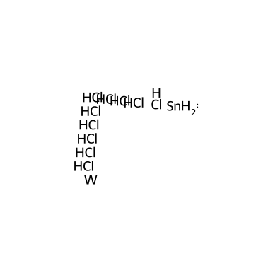 Cl.Cl.Cl.Cl.Cl.Cl.Cl.Cl.Cl.Cl.[SnH2].[W]